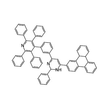 C1=CC2c3ccccc3-c3ccc(C4=CC(c5cccc(-c6c(-c7ccccc7)c(-c7ccccc7)nc(-c7ccccc7)c6-c6ccccc6)c5)=NC(c5ccccc5)N4)cc3C2C=C1